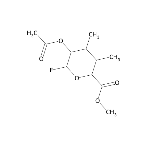 COC(=O)C1OC(F)C(OC(C)=O)C(C)C1C